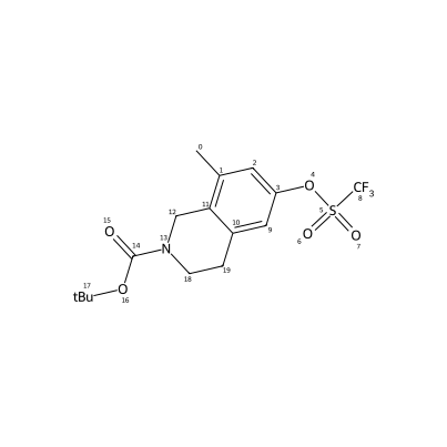 Cc1cc(OS(=O)(=O)C(F)(F)F)cc2c1CN(C(=O)OC(C)(C)C)CC2